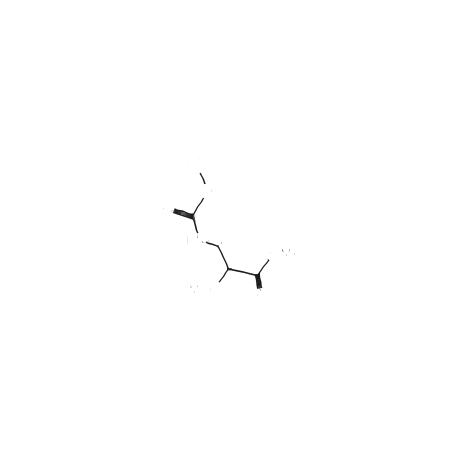 COC(=O)C(CNC(=O)OC(C)(C)C)OC